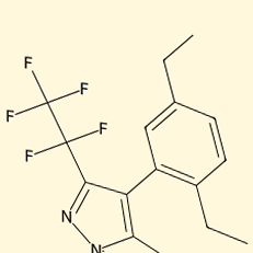 CCc1ccc(CC)c(C2=C(Cl)[N]N=C2C(F)(F)C(F)(F)F)c1